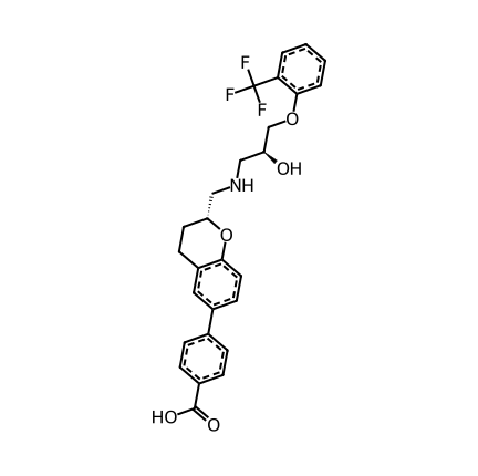 O=C(O)c1ccc(-c2ccc3c(c2)CC[C@H](CNC[C@H](O)COc2ccccc2C(F)(F)F)O3)cc1